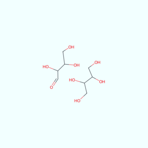 O=CC(O)C(O)CO.OCC(O)C(O)CO